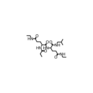 CCNC(=O)CCC(NC(=O)CC)C(=O)NC(CCC(=O)NCC)C(=O)NCC(C)C